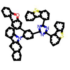 c1ccc2cc3c(cc2c1)c1ccccc1n3-c1ccc(-c2nc(-c3cccc4sc5ccccc5c34)nc(-c3cccc4sc5ccccc5c34)n2)cc1-c1ccc2c(c1)oc1ccccc12